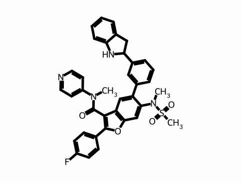 CN(C(=O)c1c(-c2ccc(F)cc2)oc2cc(N(C)S(C)(=O)=O)c(-c3cccc(C4Cc5ccccc5N4)c3)cc12)c1ccncc1